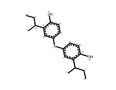 CCC(C)c1cc(Sc2ccc(O)c(C(C)CC)c2)ccc1O